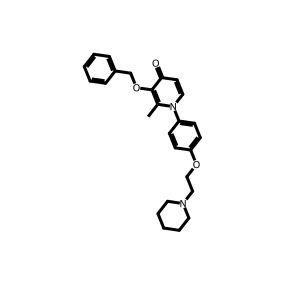 Cc1c(OCc2ccccc2)c(=O)ccn1-c1ccc(OCCN2CCCCC2)cc1